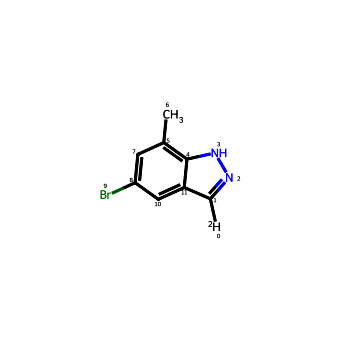 [2H]c1n[nH]c2c(C)cc(Br)cc12